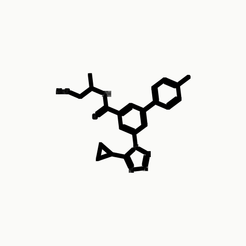 COCC(C)NC(=O)c1cc(-c2ccc(C)cc2)cc(-n2nnnc2C2CC2)c1